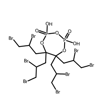 O=P1(O)OC(CC(Br)CBr)(CC(Br)CBr)C(CC(Br)CBr)(CC(Br)CBr)OP(=O)(O)O1